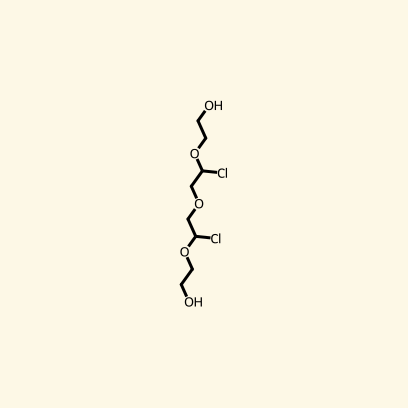 OCCOC(Cl)COCC(Cl)OCCO